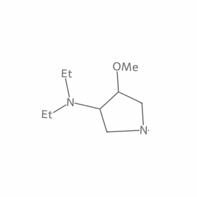 CCN(CC)C1C[N]CC1OC